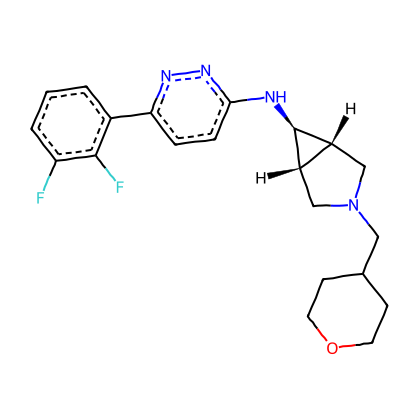 Fc1cccc(-c2ccc(N[C@H]3[C@@H]4CN(CC5CCOCC5)C[C@@H]43)nn2)c1F